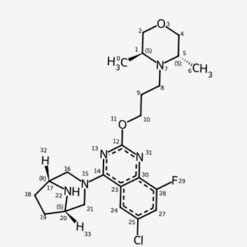 C[C@H]1COC[C@H](C)N1CCCOc1nc(N2C[C@H]3CC[C@@H](C2)N3)c2cc(Cl)cc(F)c2n1